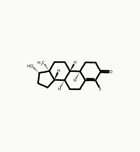 C[C@]12CC[C@H]3[C@@H](CCC4=C(F)C(=O)CC[C@@H]43)[C@@H]1CC[C@@H]2O